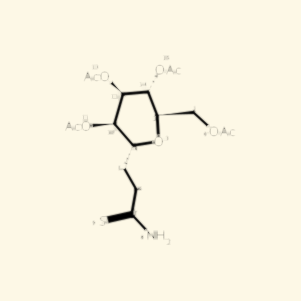 CC(=O)OC[C@H]1O[C@H](CCC(N)=S)[C@@H](OC(C)=O)[C@@H](OC(C)=O)[C@@H]1OC(C)=O